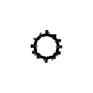 n1p[nH][pH][nH][pH][nH][pH][nH][pH][nH][pH]1